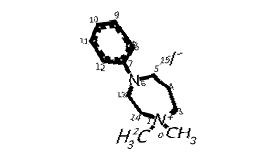 C[N+]1(C)CCCN(c2ccccc2)CC1.[I-]